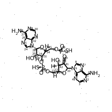 Nc1ncnc2c1ncn2C1O[C@@H]2CO[P@@](=O)(S)O[C@H]3[C@@H](O)[C@H](n4cnc5c(N)ncnc54)O[C@@H]3CO[P@@](=O)(S)O[C@@H]1[C@@H]2O